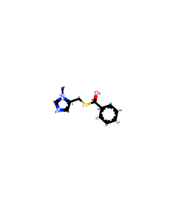 Cn1cncc1CSC(=O)c1ccccc1